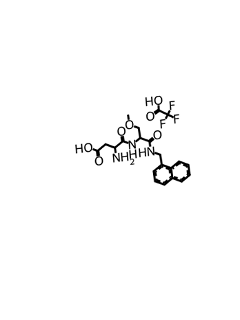 COCC(NC(=O)C(N)CC(=O)O)C(=O)NCc1cccc2ccccc12.O=C(O)C(F)(F)F